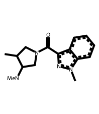 CNC1CN(C(=O)c2nn(C)c3ccccc23)CC1C